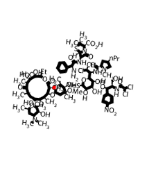 CC1(C)S[C@@H]2[C@H](NC(=O)[C@H](N)c3ccccc3)C(=O)N2[C@H]1C(=O)O.CCC[C@@H]1C[C@@H](C(=O)N[C@@H]([C@H]2O[C@H](SC)[C@H](O)[C@@H](O)[C@H]2O)[C@H](C)Cl)N(C)C1.CC[C@H]1OC(=O)[C@H](C)[C@@H](O[C@H]2C[C@@](C)(OC)[C@@H](O)[C@H](C)O2)[C@H](C)[C@@H](O[C@@H]2O[C@H](C)C[C@H](N(C)C)[C@H]2O)[C@](C)(O)C[C@@H](C)C(=O)[C@H](C)[C@@H](O)[C@]1(C)O.O=C(N[C@H](CO)[C@H](O)c1ccc([N+](=O)[O-])cc1)C(Cl)Cl